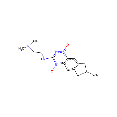 CC1Cc2cc3c(cc2C1)[n+]([O-])c(NCCN(C)C)n[n+]3[O-]